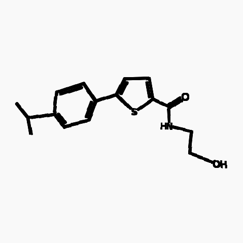 CC(C)c1ccc(-c2ccc(C(=O)NCCO)s2)cc1